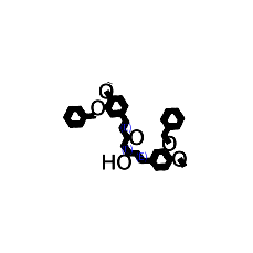 COc1ccc(/C=C/C(=O)/C=C(O)\C=C\c2ccc(OC)c(OCc3ccccc3)c2)cc1OCc1ccccc1